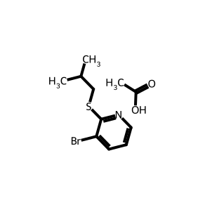 CC(=O)O.CC(C)CSc1ncccc1Br